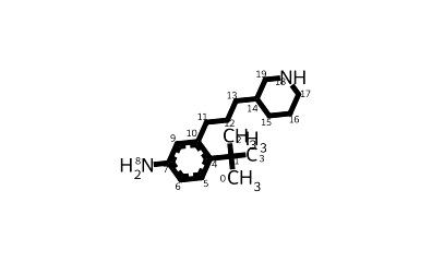 CC(C)(C)c1ccc(N)cc1CCCC1CCCNC1